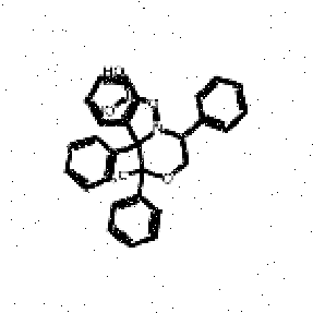 CC1(c2ccccc2)OCC(c2ccccc2)N(OB(O)O)C1(c1ccccc1)c1ccccc1